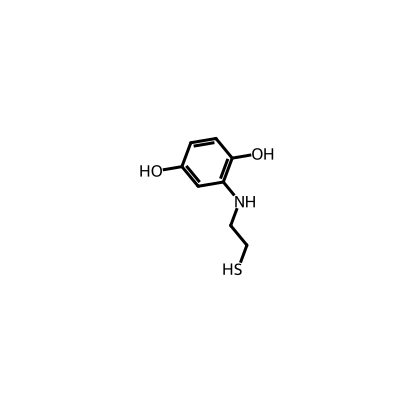 Oc1ccc(O)c(NCCS)c1